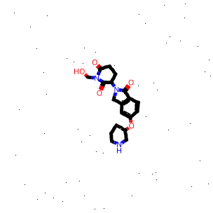 O=C1CCC(N2Cc3cc(OC4CCCNC4)ccc3C2=O)C(=O)N1CO